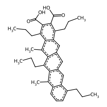 CCCc1cccc2c(C)c3c(CCC)c4c(C)c5c(CCC)c(C(=O)O)c(C(=O)O)c(CCC)c5cc4cc3cc12